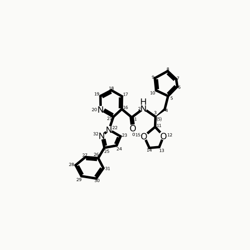 O=C(N[C@@H](Cc1ccccc1)C1OCCO1)c1cccnc1-n1ccc(-c2ccccc2)n1